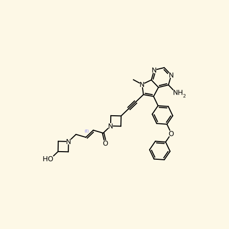 Cn1c(C#CC2CN(C(=O)/C=C/CN3CC(O)C3)C2)c(-c2ccc(Oc3ccccc3)cc2)c2c(N)ncnc21